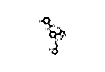 Cn1ncc(Br)c1-c1cc(NC(=O)c2cccc(F)c2)ccc1OCCC1CCCN1